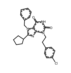 O=c1[nH]c(=O)n(CCc2ccc(Cl)cc2)c2nc(C3CCCC3)n(Cc3ccccc3)c12